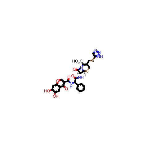 O=C(O)C1=C(CSc2cnn[nH]2)CS[C@H]2[C@H](NC(=O)C(NC(=O)c3coc4cc(O)c(O)cc4c3=O)c3ccccc3)C(=O)N12